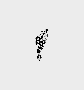 CN1CCN([C@H]2CCN(c3ncc4c5c(c(-c6c(F)ccc7sc(NC(=O)OC(C)(C)C)c(C#N)c67)c(F)c4n3)COC5)C2)CC1